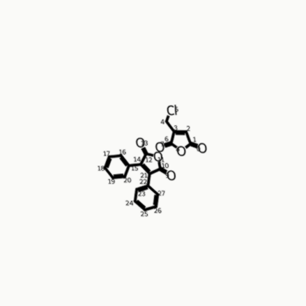 O=C1C=C(CCl)C(=O)O1.O=C1OC(=O)C(c2ccccc2)=C1c1ccccc1